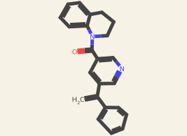 C=C(c1ccccc1)c1cncc(C(=O)N2CCCc3ccccc32)c1